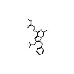 COC(=O)COc1nc(C)cn2c(Cc3ccccc3)c(CC(C)C)cc12